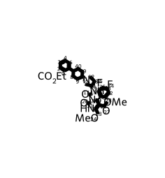 CCOC(=O)c1ccccc1C1CCC(N2CC[C@@H](NC(=O)N3C(=O)NC(COC)=C(C(=O)OC)[C@@H]3c3ccc(F)c(F)c3)C2)CC1